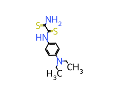 CCN(CC)c1ccc(NC(=S)C(N)=S)cc1